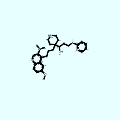 COc1ccc2ncc(N(C)C)c(CCCC3(C(O)CCSc4ccccn4)CCNCC3)c2c1